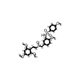 COc1ccc(S(=O)(=O)Nc2cc(C[S+]([O-])C=Cc3c(OC)cc(OC)cc3OC)ccc2OC)cc1